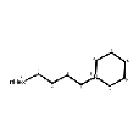 CCCCCCCCCCN1CCCCC1